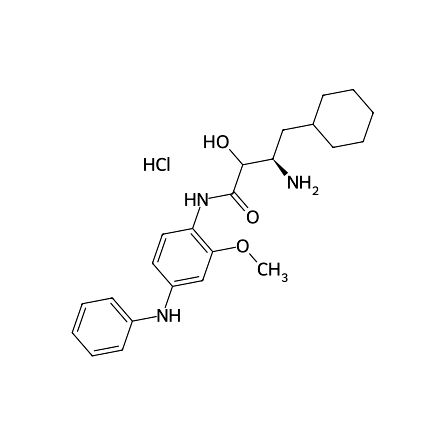 COc1cc(Nc2ccccc2)ccc1NC(=O)C(O)[C@H](N)CC1CCCCC1.Cl